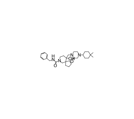 CC1(C)CCC(N2CCN(CC3(O)CCN(C(=O)NCc4ccccc4)CC34CCCC4)C(=O)C2)CC1